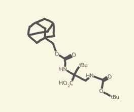 CC(C)(C)OC(=O)NCC(NC(=O)OCC12CC3CC(CC(C3)C1)C2)(C(=O)O)C(C)(C)C